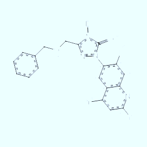 CCn1c(COCc2ccccc2)nn(-c2cc3c(C(C)C)cc(Cl)nc3cc2F)c1=O